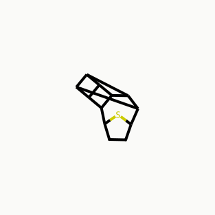 C1CC2SC1C1C3C4C2C2C1C3C42